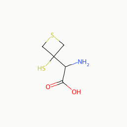 NC(C(=O)O)C1(S)CSC1